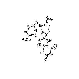 COc1ccc(C(=O)Nc2c(Cl)c[n+]([O-])cc2Cl)c2c1oc1ccc(C(F)(F)F)cc12